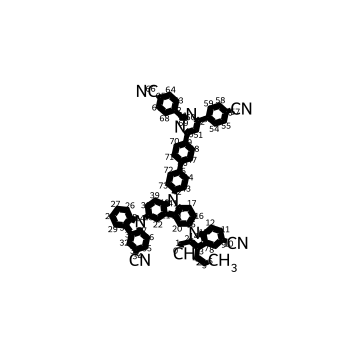 C=Cc1c(/C=C\C)c2cc(C#N)ccc2n1-c1ccc2c(c1)c1cc(-n3c4ccccc4c4cc(C#N)ccc43)ccc1n2-c1ccc(-c2ccc(-c3cc(-c4ccc(C#N)cc4)nc(-c4ccc(C#N)cc4)n3)cc2)cc1